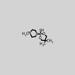 CN1CCN([P]2(S)OCC(C)(C)CO2)CC1